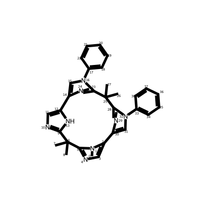 Cn1c2cnc1C(C)(C)c1ncc([nH]1)-c1cn(-c3ccccc3)c(n1)C(C)(C)c1nc-2cn1-c1ccccc1